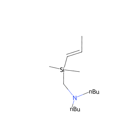 CC=C[Si](C)(C)CN(CCCC)CCCC